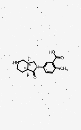 Cc1ccc(N2C[C@@H]3CNCC[C@]3(F)C2=O)cc1C(=O)O